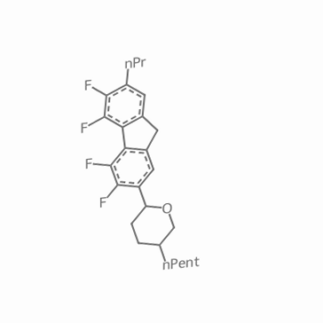 CCCCCC1CCC(c2cc3c(c(F)c2F)-c2c(cc(CCC)c(F)c2F)C3)OC1